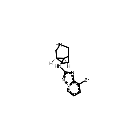 Brc1cccn2nc(N[C@@H]3C4CC[C@H]3CNC4)nc12